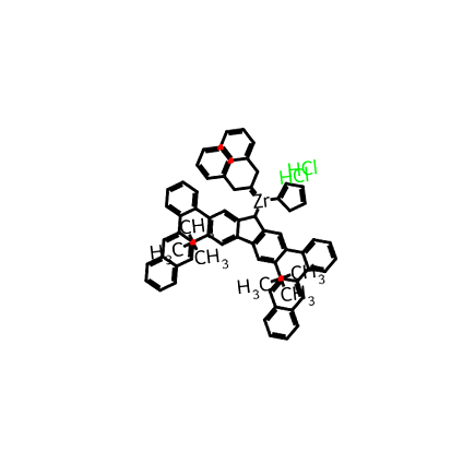 CC(C)(C)c1cc2c(cc1-c1ccccc1-c1ccc3ccccc3c1)[CH]([Zr]([C]1=CC=CC1)=[C](Cc1ccccc1)Cc1ccccc1)c1cc(-c3ccccc3-c3ccc4ccccc4c3)c(C(C)(C)C)cc1-2.Cl.Cl